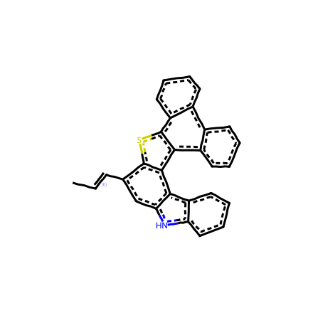 C/C=C/c1cc2[nH]c3ccccc3c2c2c1sc1c3ccccc3c3ccccc3c12